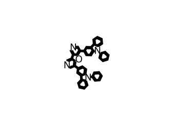 c1ccc(-n2c3ccccc3c3cc(-c4cncc5c4oc4c(-c6ccc7c(c6)c6ccccc6n7-c6ccccc6)cncc45)ccc32)cc1